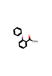 COC(=O)c1ccccc1I.c1ccccc1